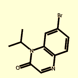 CC(C)n1c(=O)cnc2ccc(Br)cc21